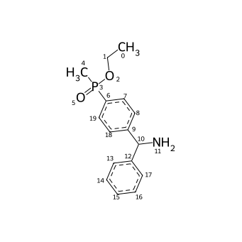 CCOP(C)(=O)c1ccc(C(N)c2ccccc2)cc1